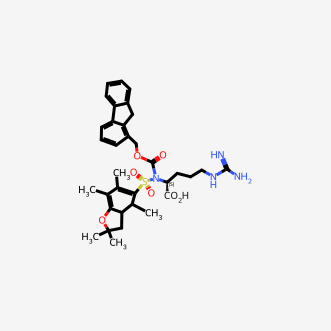 CC1=C2OC(C)(C)CC2C(C)C(S(=O)(=O)N(C(=O)OCc2cccc3c2Cc2ccccc2-3)[C@@H](CCCNC(=N)N)C(=O)O)=C1C